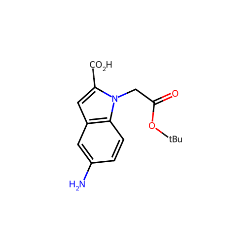 CC(C)(C)OC(=O)Cn1c(C(=O)O)cc2cc(N)ccc21